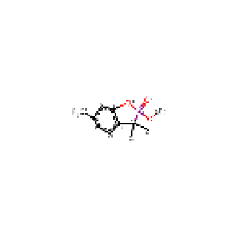 CCOP1(=O)Oc2cc(C(F)(F)F)ccc2C1(C)C